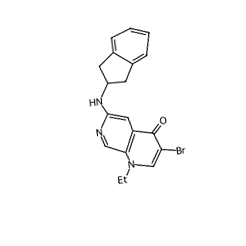 CCn1cc(Br)c(=O)c2cc(NC3Cc4ccccc4C3)ncc21